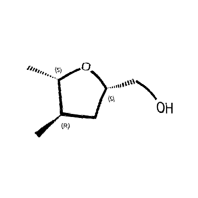 C[C@@H]1C[C@@H](CO)O[C@H]1C